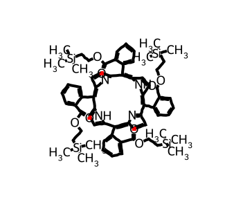 C[Si](C)(C)CCOC(=O)c1ccccc1-c1c2nc(c(-c3ccccc3C(=O)OCC[Si](C)(C)C)c3ccc([nH]3)c(-c3ccccc3C(=O)OCC[Si](C)(C)C)c3nc(c(-c4ccccc4C(=O)OCC[Si](C)(C)C)c4ccc1[nH]4)C=C3)C=C2